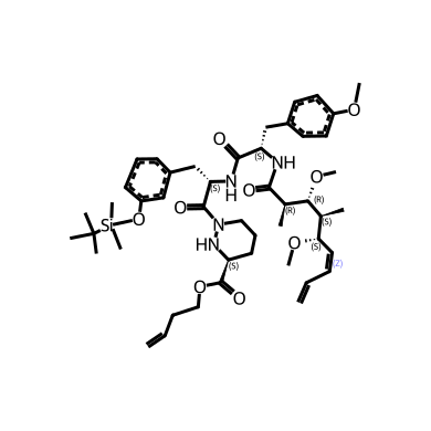 C=C/C=C\[C@H](OC)[C@H](C)[C@@H](OC)[C@@H](C)C(=O)N[C@@H](Cc1ccc(OC)cc1)C(=O)N[C@@H](Cc1cccc(O[Si](C)(C)C(C)(C)C)c1)C(=O)N1CCC[C@@H](C(=O)OCCC=C)N1